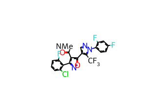 CNC(=O)c1c(-c2c(F)cccc2Cl)noc1-c1cnn(-c2ccc(F)cc2F)c1C(F)(F)F